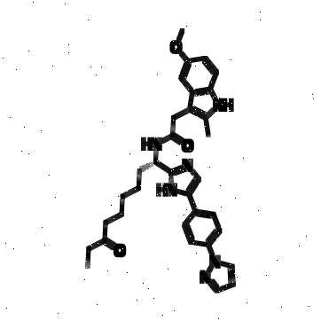 CCC(=O)CCCCC[C@H](NC(=O)Cc1c(C)[nH]c2ccc(OC)cc12)c1ncc(-c2ccc(-n3cccn3)cc2)[nH]1